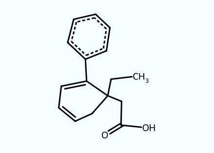 CCC1(CC(=O)O)CC=CC=C1c1ccccc1